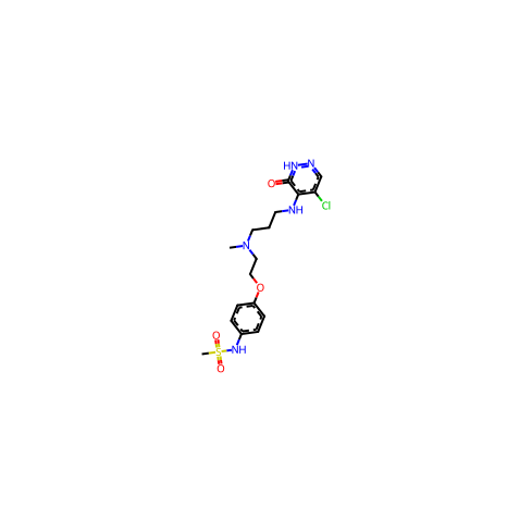 CN(CCCNc1c(Cl)cn[nH]c1=O)CCOc1ccc(NS(C)(=O)=O)cc1